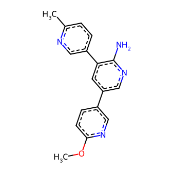 COc1ccc(-c2cnc(N)c(-c3ccc(C)nc3)c2)cn1